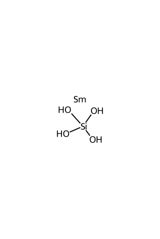 O[Si](O)(O)O.[Sm]